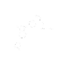 COc1cc(-n2cnc3cc(-c4cnn(C)c4)ccc32)cc(OC)c1C(=O)N1CC(N(C)C)C1